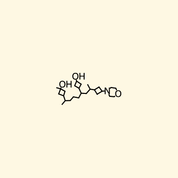 CC(CC(CCCC(C)C1CC(C)(O)C1)C1CC(O)C1)C1CC(N2CCOCC2)C1